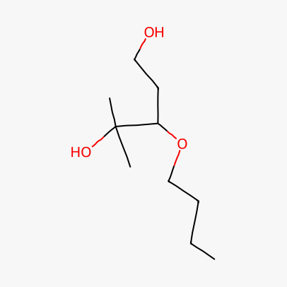 CCCCOC(CCO)C(C)(C)O